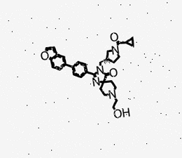 O=C(C1CC1)N1CC[C@@H](CN2C(=O)C3(CCN(CCO)CC3)N=C2c2ccc(-c3ccc4occc4c3)cc2)C1